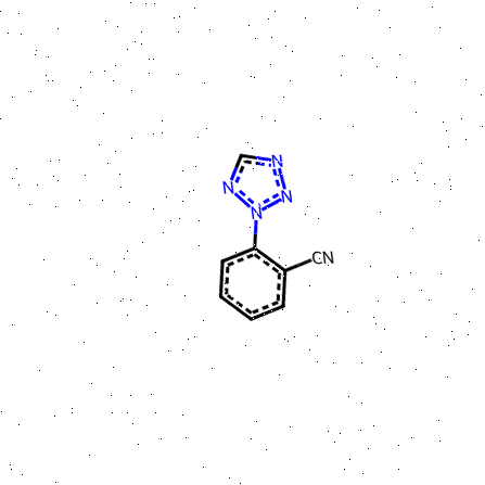 N#Cc1ccccc1-n1ncnn1